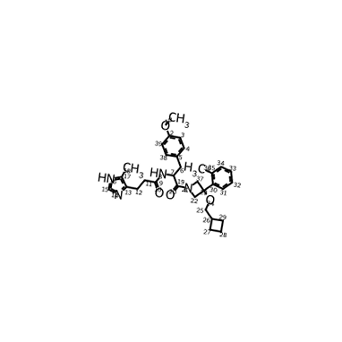 COc1ccc(CC(NC(=O)CCc2nc[nH]c2C)C(=O)N2CC(OCC3CCC3)(c3ccccc3C)C2)cc1